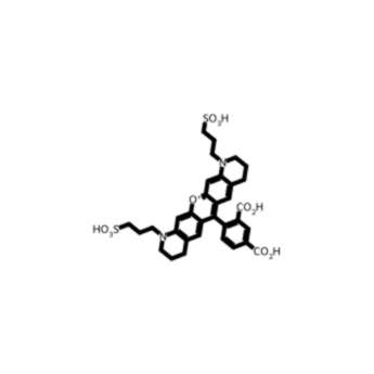 O=C(O)c1ccc(-c2c3cc4c(cc3[o+]c3cc5c(cc23)CCCN5CCCS(=O)(=O)O)N(CCCS(=O)(=O)O)CCC4)c(C(=O)O)c1